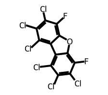 Fc1c(Cl)c(Cl)c(Cl)c2c1oc1c(F)c(Cl)c(Cl)c(Cl)c12